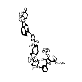 CC(C)(C)OC(=O)COc1c(C(=O)OC(C)(C)C)sc(-c2cccc(N[C@H]3CCN(S(=O)(=O)Cc4cccc(NC(=O)N5CCC(c6ccc7c8c(cccc68)C(=O)N7C6CCC(=O)NC6=O)CC5)c4)C(C)(C)C3)c2)c1Cl